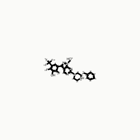 Cl.Cn1nc(-c2cc(C(F)(F)F)c(F)c(O)c2F)c2cnc(N3CCN[C@@H](Cc4ccccc4)C3)nc21